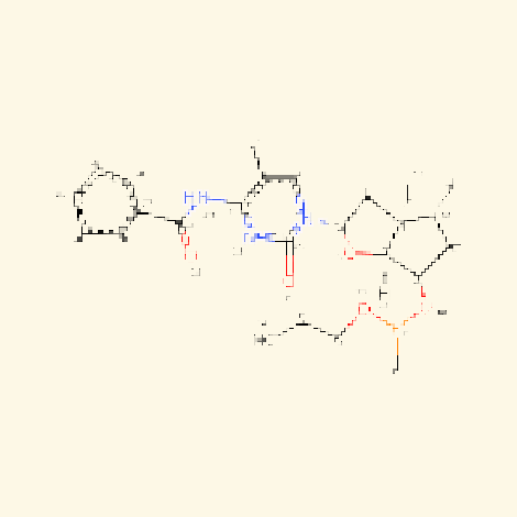 Cc1cn([C@@H]2C[C@@H]3[C@H](O2)[C@H](OP(C)OCCC#N)C[C@H]3C)c(=O)nc1NC(=O)c1ccccc1